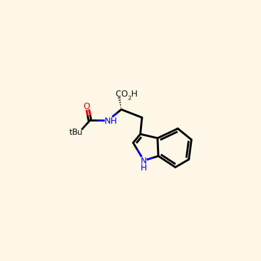 CC(C)(C)C(=O)N[C@@H](Cc1c[nH]c2ccccc12)C(=O)O